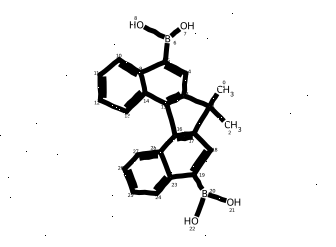 CC1(C)c2cc(B(O)O)c3ccccc3c2-c2c1cc(B(O)O)c1ccccc21